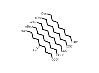 CCCCCCCCCCCCCCCCCC(=O)[O-].CCCCCCCCCCCCCCCCCC(=O)[O-].CCCCCCCCCCCCCCCCCC(=O)[O-].CCCCCCCCCCCCCCCCCC(=O)[O-].CCCCCCCCCCCCCCCCCC(=O)[O-].[Al+3].[Fe+2]